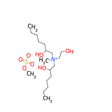 CCCCCC(O)C[N+](C)(CCO)CC(O)CCCCC.COS(=O)(=O)[O-]